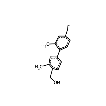 Cc1cc(-c2ccc(F)cc2C)ccc1CO